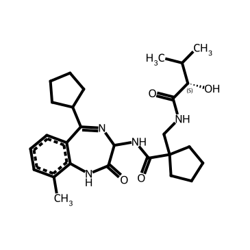 Cc1cccc2c1NC(=O)C(NC(=O)C1(CNC(=O)[C@@H](O)C(C)C)CCCC1)N=C2C1CCCC1